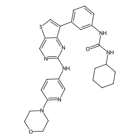 O=C(Nc1cccc(-c2csc3cnc(Nc4ccc(N5CCOCC5)nc4)nc23)c1)NC1CCCCC1